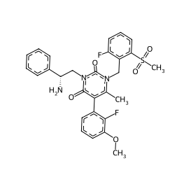 COc1cccc(-c2c(C)n(Cc3c(F)cccc3S(C)(=O)=O)c(=O)n(C[C@H](N)c3ccccc3)c2=O)c1F